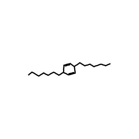 CCCCCCCC1C=CC(CCCCCCC)C=C1